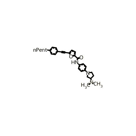 CCCCCc1ccc(C#Cc2ccc(C(=O)Nc3ccc(N4CCC(N(C)C)C4)cc3)o2)cc1